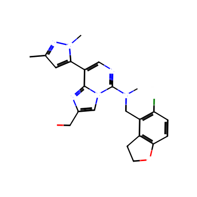 Cc1cc(-c2cnc(N(Cc3c(F)ccc4c3CCO4)C(=O)O)n3cc(CO)nc23)n(C)n1